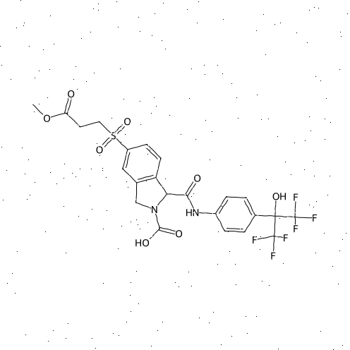 COC(=O)CCS(=O)(=O)c1ccc2c(c1)CN(C(=O)O)C2C(=O)Nc1ccc(C(O)(C(F)(F)F)C(F)(F)F)cc1